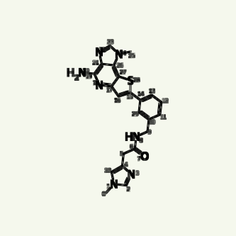 Cn1cnc(CC(=O)NCc2cccc(-c3cc4nc(N)c5ncn(C)c5c4s3)c2)c1